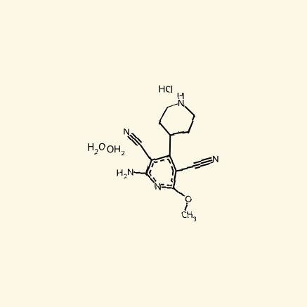 COc1nc(N)c(C#N)c(C2CCNCC2)c1C#N.Cl.O.O